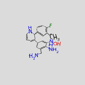 Cc1cc(C2NC=CC=C2c2cc(CN)c(N)c(NO)c2)ccc1F